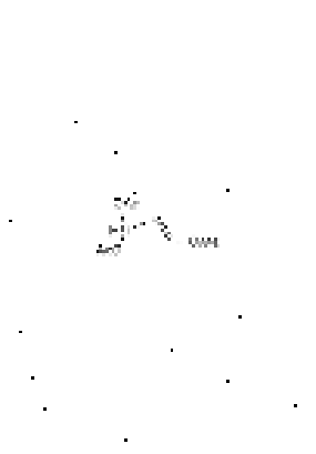 COC=C[SiH](OC(C)=O)OC(C)=O